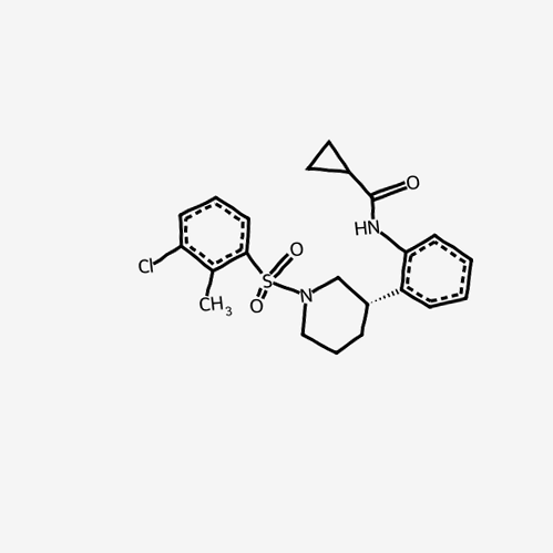 Cc1c(Cl)cccc1S(=O)(=O)N1CCC[C@@H](c2ccccc2NC(=O)C2CC2)C1